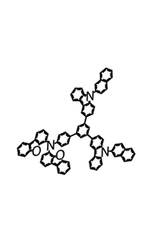 c1ccc2cc(-n3c4ccccc4c4cc(-c5cc(-c6ccc(N(c7cccc8c7oc7ccccc78)c7cccc8c7oc7ccccc78)cc6)cc(-c6ccc7c(c6)c6ccccc6n7-c6ccc7ccccc7c6)c5)ccc43)ccc2c1